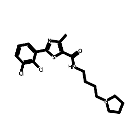 Cc1nc(-c2cccc(Cl)c2Cl)sc1C(=O)NCCCCN1CCCC1